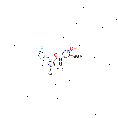 CSc1cc(NC(=O)c2c(C(F)(F)F)c(C3CC3)nn2CC23CC2CC(F)(F)C3)cc[n+]1O